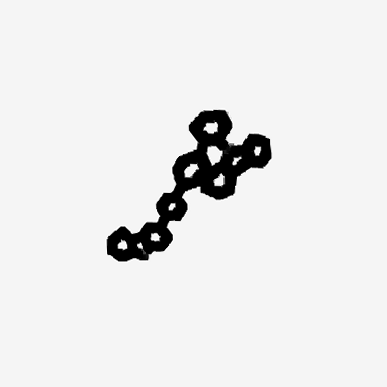 c1ccc(-n2c3ccccc3c3ccccc32)c(-c2ccc(-c3ccc(-c4ccc5oc6ccccc6c5c4)cc3)cc2)c1